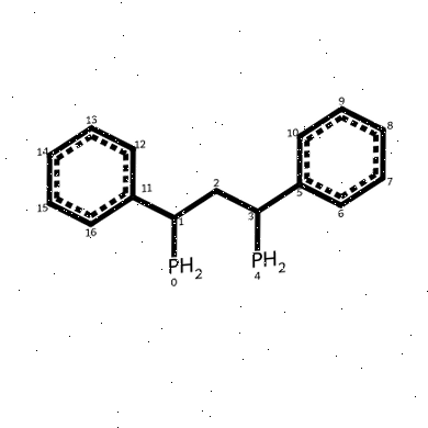 PC(CC(P)c1ccccc1)c1ccccc1